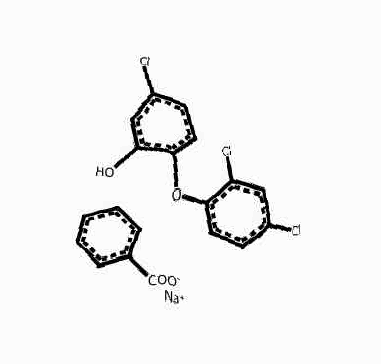 O=C([O-])c1ccccc1.Oc1cc(Cl)ccc1Oc1ccc(Cl)cc1Cl.[Na+]